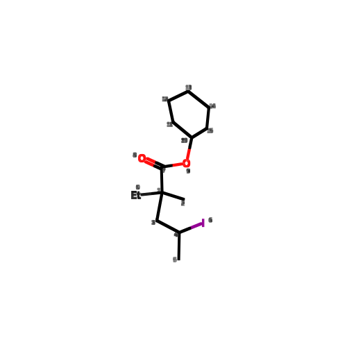 CCC(C)(CC(C)I)C(=O)OC1CCCCC1